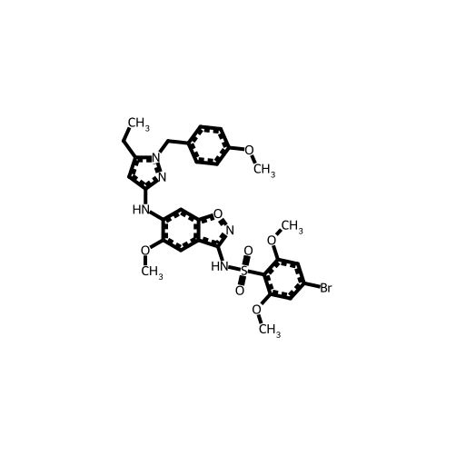 CCc1cc(Nc2cc3onc(NS(=O)(=O)c4c(OC)cc(Br)cc4OC)c3cc2OC)nn1Cc1ccc(OC)cc1